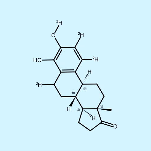 [2H]Oc1c([2H])c([2H])c2c(c1O)C([2H])C[C@@H]1[C@@H]2CC[C@]2(C)C(=O)CC[C@@H]12